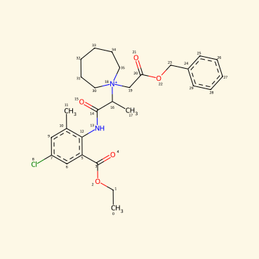 CCOC(=O)c1cc(Cl)cc(C)c1NC(=O)C(C)[N+]1(CC(=O)OCc2ccccc2)CCCCCC1